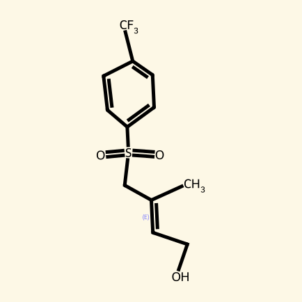 C/C(=C\CO)CS(=O)(=O)c1ccc(C(F)(F)F)cc1